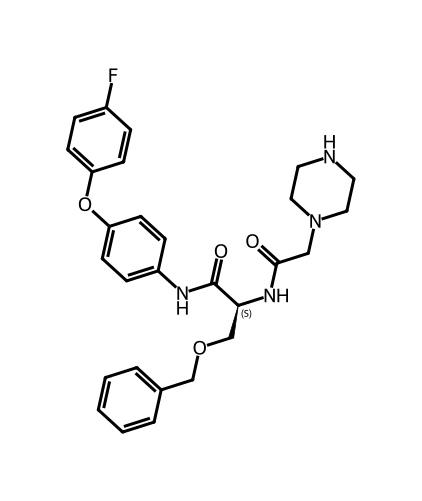 O=C(CN1CCNCC1)N[C@@H](COCc1ccccc1)C(=O)Nc1ccc(Oc2ccc(F)cc2)cc1